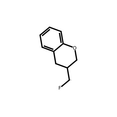 F[CH]C1COc2ccccc2C1